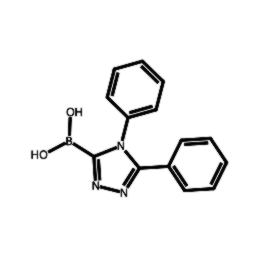 OB(O)c1nnc(-c2ccccc2)n1-c1ccccc1